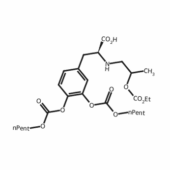 CCCCCOC(=O)Oc1ccc(C[C@H](NCC(C)OC(=O)OCC)C(=O)O)cc1OC(=O)OCCCCC